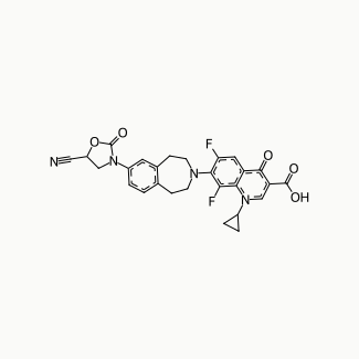 N#CC1CN(c2ccc3c(c2)CCN(c2c(F)cc4c(=O)c(C(=O)O)cn(C5CC5)c4c2F)CC3)C(=O)O1